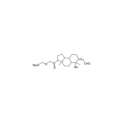 CCCC1(C)/C(=C\C=O)CCC2C1CCC1(C)C(C(=O)COCOC)CCC21